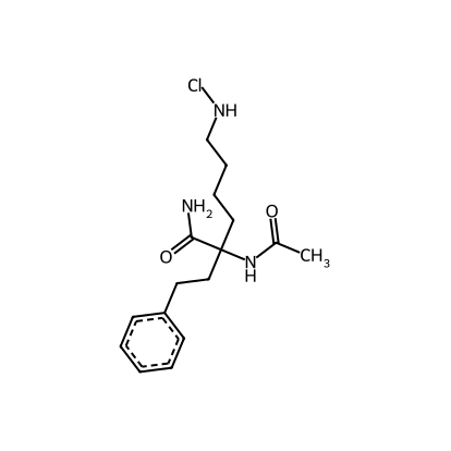 CC(=O)NC(CCCCNCl)(CCc1ccccc1)C(N)=O